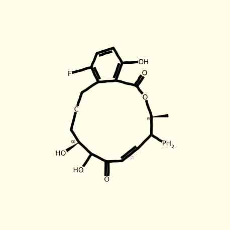 C[C@@H]1OC(=O)c2c(O)ccc(F)c2CCC[C@H](O)C(O)C(=O)/C=C\C1P